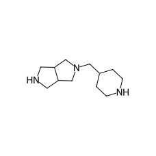 C1CC(CN2CC3CNCC3C2)CCN1